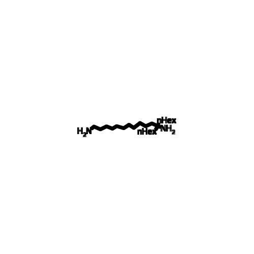 CCCCCCC(N)(CCCCCC)CCCCCCCCCCCN